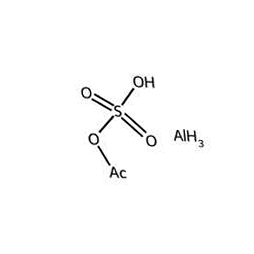 CC(=O)OS(=O)(=O)O.[AlH3]